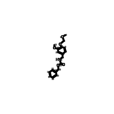 COCOc1ccc(CNC(=O)OCc2ccccc2)cc1OC